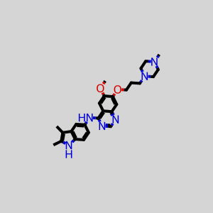 COc1cc2c(Nc3ccc4[nH]c(C)c(C)c4c3)ncnc2cc1OCCCN1CCN(C)CC1